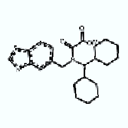 COC(=O)C(=O)N(Cc1ccc2scnc2c1)C(C1CCCCC1)C1CCCCC1